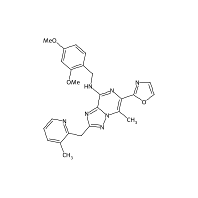 COc1ccc(CNc2nc(-c3ncco3)c(C)n3nc(Cc4ncccc4C)nc23)c(OC)c1